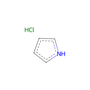 Cl.c1cc[nH]c1